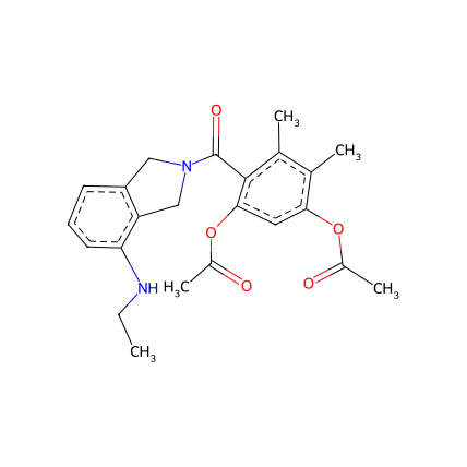 CCNc1cccc2c1CN(C(=O)c1c(OC(C)=O)cc(OC(C)=O)c(C)c1C)C2